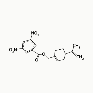 C=C(C)C1CC=C(COC(=O)c2cc([N+](=O)[O-])cc([N+](=O)[O-])c2)CC1